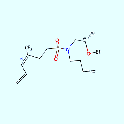 C=C/C=C(\CCS(=O)(=O)N(CCC=C)C[C@H](CC)OCC)C(F)(F)F